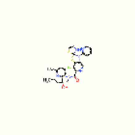 CCCC(O)(CNC(=O)c1nccc(SC2(Nc3ccccn3)NC=CS2)c1F)c1cccc(C)n1